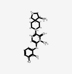 Cn1c(Sc2cccc(Cl)c2Cl)cnc(N2CCC3(CC2)COCC3N)c1=O